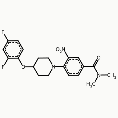 CN(C)C(=O)c1ccc(N2CCC(Oc3ccc(F)cc3F)CC2)c([N+](=O)[O-])c1